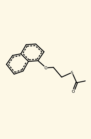 CC(=O)SCCOc1cccc2ccccc12